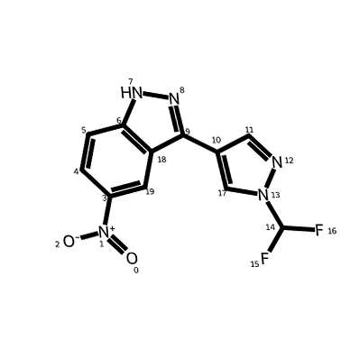 O=[N+]([O-])c1ccc2[nH]nc(-c3cnn(C(F)F)c3)c2c1